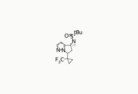 CC(C)(C)[S@@+]([O-])/N=C1/CC(C2(C(F)(F)F)CC2)n2nccc21